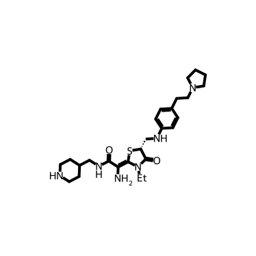 CCN1C(=O)[C@@H](CNc2ccc(CCN3CCCC3)cc2)S/C1=C(/N)C(=O)NCC1CCNCC1